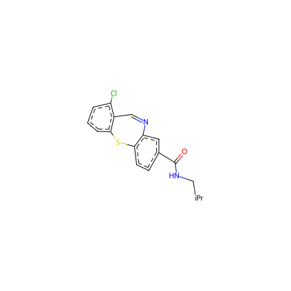 CC(C)CNC(=O)c1ccc2c(c1)N=Cc1c(Cl)cccc1S2